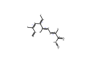 C=C\C(C)=C/C(=C\C)C(/C)=C/C=C(\C)C(=O)N=O